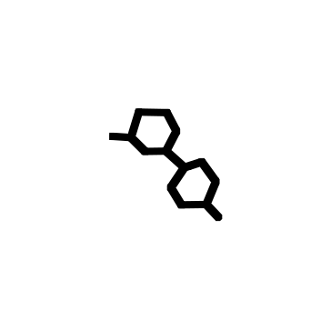 CC1CC[C](C2CCCC(C)C2)CC1